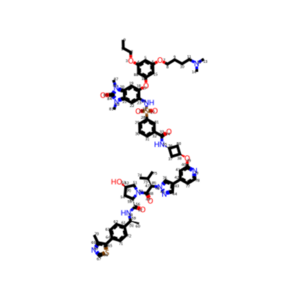 CCCOc1cc(OCCCCN(C)C)cc(Oc2cc3c(cc2NS(=O)(=O)c2cccc(C(=O)N[C@H]4C[C@H](Oc5cc(-c6cnn([C@@H](C(=O)N7C[C@H](O)C[C@H]7C(=O)N[C@@H](C)c7ccc(-c8scnc8C)cc7)C(C)C)c6)ccn5)C4)c2)n(C)c(=O)n3C)c1